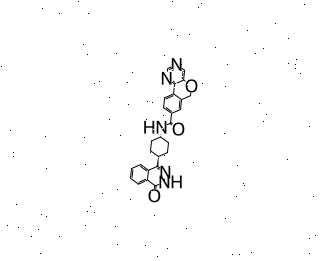 O=C(N[C@H]1CC[C@H](c2n[nH]c(=O)c3ccccc32)CC1)c1ccc2c(c1)COc1cncnc1-2